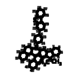 CC1(C)c2ccccc2-c2cc(N(c3ccc(-c4ccc5c(c4)sc4ccccc45)cc3)c3ccc4ccccc4c3-c3cccc4ccccc34)ccc21